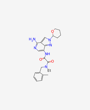 CCN(Cc1ccccc1C)C(=O)C(=O)Nc1cnc(N)c2cn(C3CCCCO3)nc12